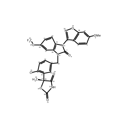 COc1ccc2c(-n3c(=O)n(Cc4ccc(Cl)c([C@@]5(C)OC(=O)NC5=O)c4)c4cc(OC(F)(F)F)ccc43)noc2c1